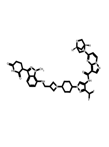 Cn1nc(C2CCC(=O)NC2=O)c2cccc(NCC3CN(C4CCC(n5cc(NC(=O)c6cnn7ccc(N8C[C@H]9C[C@@H]8CO9)nc67)c(C(F)F)n5)CC4)C3)c21